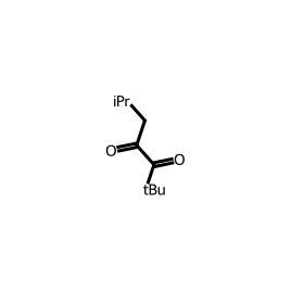 CC(C)CC(=O)C(=O)C(C)(C)C